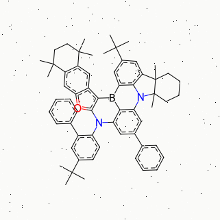 CC(C)(C)c1ccc(N2c3cc(-c4ccccc4)cc4c3B(c3cc(C(C)(C)C)cc5c3N4C3(C)CCCCC53C)c3c2oc2cc4c(cc32)C(C)(C)CCC4(C)C)c(-c2ccccc2)c1